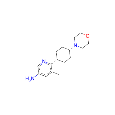 Cc1cc(N)cnc1[C@H]1CC[C@@H](N2CCOCC2)CC1